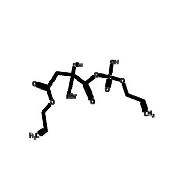 C=CCOC(=O)CC(CCCC)(CCCC)C(=O)OP(=O)(O)OCC=C